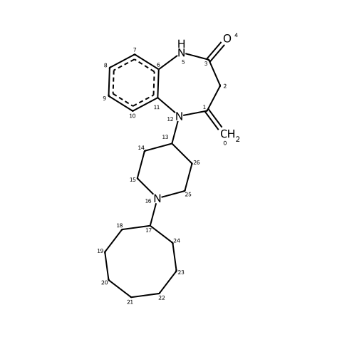 C=C1CC(=O)Nc2ccccc2N1C1CCN(C2CCCCCCC2)CC1